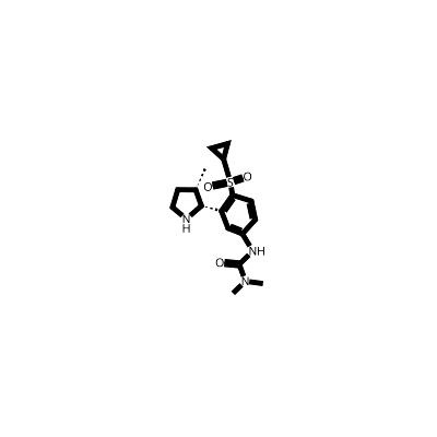 C[C@H]1CCN[C@H]1c1cc(NC(=O)N(C)C)ccc1S(=O)(=O)C1CC1